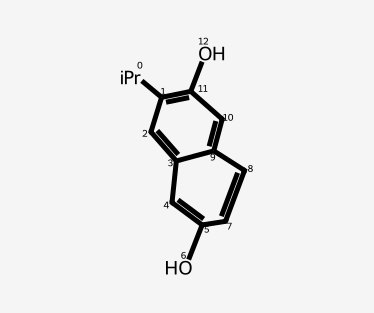 CC(C)c1cc2cc(O)ccc2cc1O